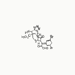 Cn1nnnc1C(S)C1(C(=O)O)CS[C@@H]2C(N(C(=O)C=O)N3C=C(Br)CC(Br)=C3)C(=O)N2C1